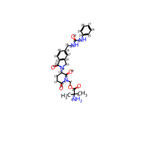 CC(C)(N)C(=O)OCN1C(=O)CCC(N2Cc3cc(CNC(=O)Nc4ccccc4)ccc3C2=O)C1=O